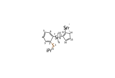 CC(C)Sc1ccccc1[Si](C)(C)C1=[C]([Sn])CC=C1